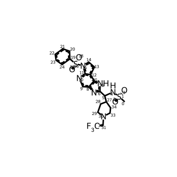 CS(=O)(=O)NC(c1nc2cnc3c(ccn3S(=O)(=O)c3ccccc3)c2[nH]1)C1CCN(CC(F)(F)F)CC1